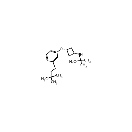 CC(C)(C)CCc1cccc(O[C@H]2C[C@H](NC(C)(C)C)C2)c1